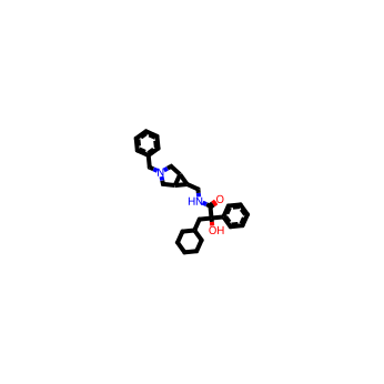 O=C(NCC1C2CN(Cc3ccccc3)CC12)C(O)(CC1CCCCC1)c1ccccc1